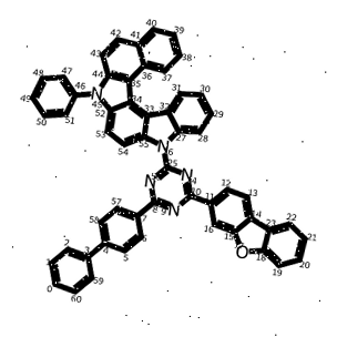 c1ccc(-c2ccc(-c3nc(-c4ccc5c(c4)oc4ccccc45)nc(-n4c5ccccc5c5c6c7c8ccccc8ccc7n(-c7ccccc7)c6ccc54)n3)cc2)cc1